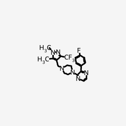 Cc1c(CN2CCN(c3nccnc3-c3ccc(F)cc3)CC2)c(C(F)(F)F)nn1C